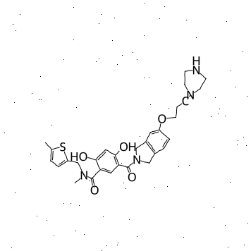 Cc1ccc(CN(C)C(=O)c2cc(C(=O)N3Cc4ccc(OCCCN5CCNCC5)cc4C3)c(O)cc2O)s1